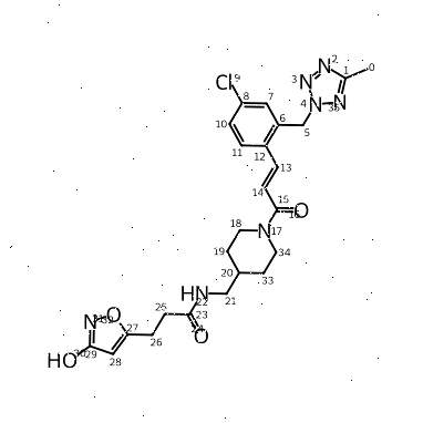 Cc1nnn(Cc2cc(Cl)ccc2/C=C/C(=O)N2CCC(CNC(=O)CCc3cc(O)no3)CC2)n1